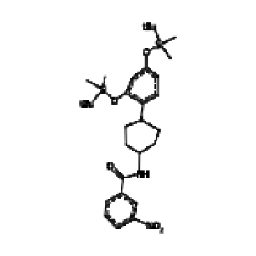 CC(C)(C)[Si](C)(C)Oc1ccc(C2CCC(NC(=O)c3cccc([N+](=O)[O-])c3)CC2)c(O[Si](C)(C)C(C)(C)C)c1